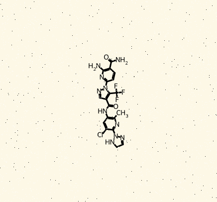 Cc1nc(N2N=CCN2)c(Cl)cc1NC(=O)c1cnn(-c2ccc(C(N)=O)c(N)n2)c1C(F)(F)F